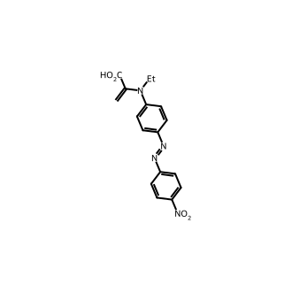 C=C(C(=O)O)N(CC)c1ccc(N=Nc2ccc([N+](=O)[O-])cc2)cc1